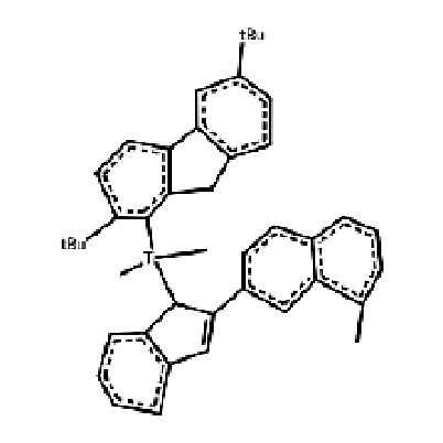 Cc1cccc2ccc(C3=Cc4ccccc4[CH]3[Ti]([CH3])([CH3])[c]3c(C(C)(C)C)ccc4c3Cc3ccc(C(C)(C)C)cc3-4)cc12